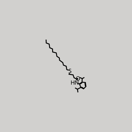 CCCCCCCCCCCCCCSCCCC(=O)Nc1c(C(C)C)cccc1C(C)C